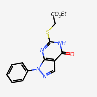 CCOC(=O)CSc1nc2c(cnn2-c2ccccc2)c(=O)[nH]1